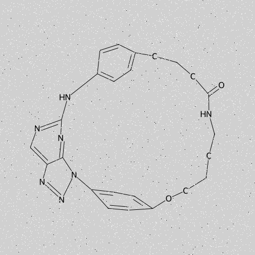 O=C1CCCc2ccc(cc2)Nc2ncc3nnn(c3n2)-c2ccc(cc2)OCCCCN1